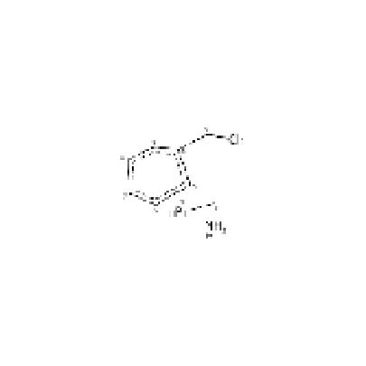 CCCC.ClCc1ccccc1.N